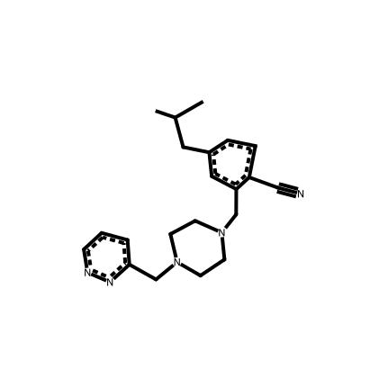 CC(C)Cc1ccc(C#N)c(CN2CCN(Cc3cccnn3)CC2)c1